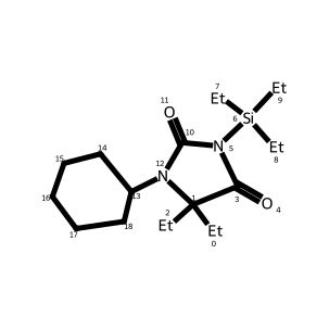 CCC1(CC)C(=O)N([Si](CC)(CC)CC)C(=O)N1C1CCCCC1